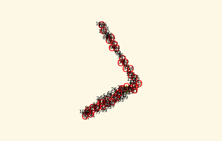 C1COCOC1.CC1COC(=O)O1.CCC(=O)OC.CCCC(=O)OC.CCCOC(=O)CC.CCCOC(=O)OC.CCCOC(C)=O.CCCOCC.CCOC(=O)CC.CCOC(=O)OC.CCOC(=O)OCC.CCOC(C)=O.COC(=O)C(C)(C)C.COC(=O)OC.COC(C)=O.COCCOC.O=C1CCCO1.O=S1(=O)CCCC1